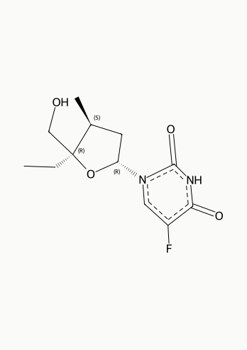 CC[C@@]1(CO)O[C@@H](n2cc(F)c(=O)[nH]c2=O)C[C@@H]1C